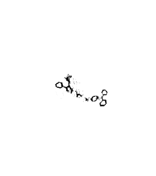 Cc1sc(NC(=O)COCC(=O)N2CCN(C(c3ccccc3)c3ccccc3)CC2)c(-c2nnn[nH]2)c1-c1ccccc1